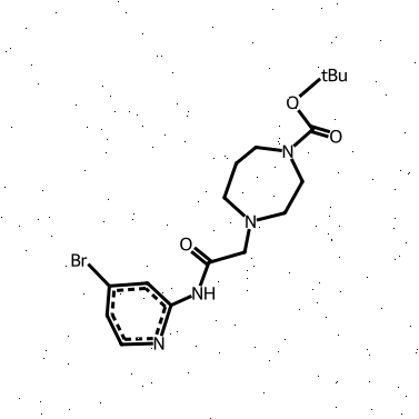 CC(C)(C)OC(=O)N1CCCN(CC(=O)Nc2cc(Br)ccn2)CC1